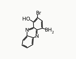 Bc1cc(Br)c(O)c2nc3ccccc3nc12